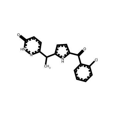 CC(c1ccc(=O)[nH]n1)c1ccc(C(=O)c2ccccc2Cl)[nH]1